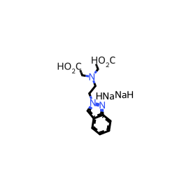 O=C(O)CN(CCn1cc2ccccc2n1)CC(=O)O.[NaH].[NaH]